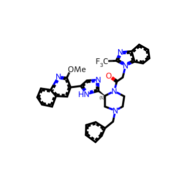 COc1nc2ccccc2cc1-c1cnc([C@@H]2CN(Cc3ccccc3)CCN2C(=O)Cn2c(C(F)(F)F)nc3ccccc32)[nH]1